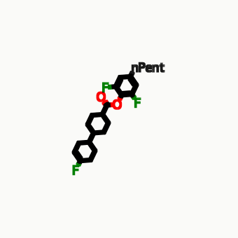 CCCCCc1cc(F)c(OC(=O)C2CCC(C3CC=C(F)CC3)CC2)c(F)c1